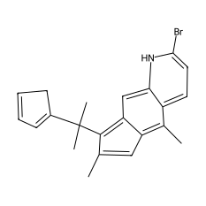 Cc1cc2c(C)c3ccc(Br)[nH]c3cc2c1C(C)(C)C1=CC=CC1